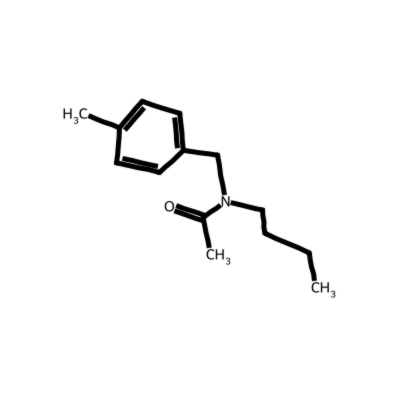 CCCCN(Cc1ccc(C)cc1)C(C)=O